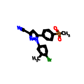 Cc1cc(-n2nc(C#N)cc2-c2ccc(S(C)(=O)=O)cc2)ccc1Br